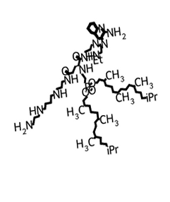 CCNCc1nc2c(N)nc3ccccc3c2n1CCCNC(=O)[C@H](CCC(=O)NCCCNCCCCNCCCN)NCCCP(=O)(OCCC(C)CCCC(C)CCCC(C)CCCC(C)C)OCCC(C)CCCC(C)CCCC(C)CCCC(C)C